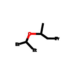 [CH2]CC(CC)OC(C)CC(C)C